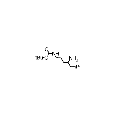 CC(C)CC(N)CCCNC(=O)OC(C)(C)C